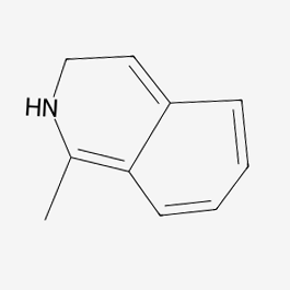 CC1=c2ccccc2=CCN1